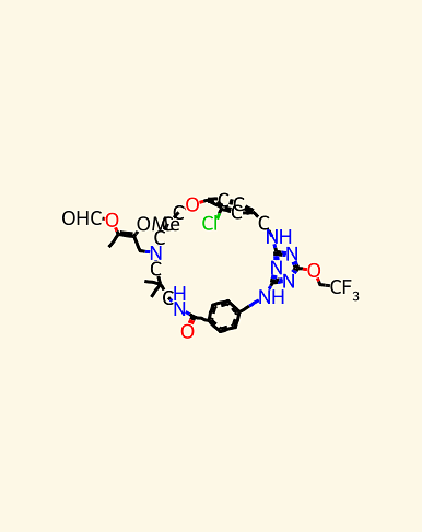 CO/C(CN1CCCOc2ccc(cc2Cl)CNc2nc(nc(OCC(F)(F)F)n2)Nc2ccc(cc2)C(=O)NCC(C)(C)C1)=C(/C)OC=O